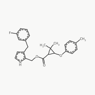 Cc1ccc(OC2C(C(=O)OCc3[nH]ccc3Cc3cccc(F)c3)C2(C)C)cc1